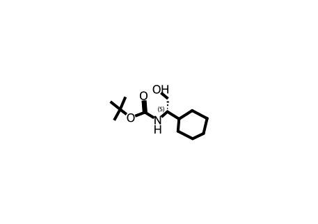 CC(C)(C)OC(=O)N[C@H](CO)C1CCCCC1